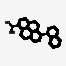 OB(O)c1ccc2ccc3c(-c4cccc5ccccc45)ccc4ccc1c2c43